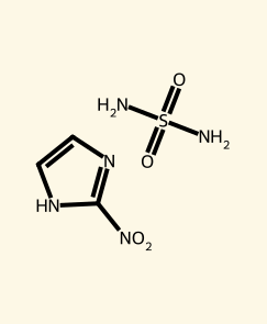 NS(N)(=O)=O.O=[N+]([O-])c1ncc[nH]1